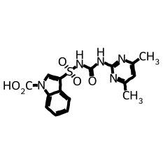 Cc1cc(C)nc(NC(=O)NS(=O)(=O)c2cn(C(=O)O)c3ccccc23)n1